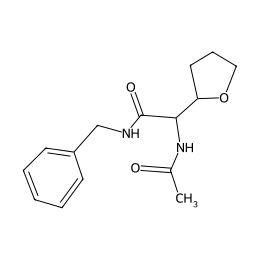 CC(=O)NC(C(=O)NCc1ccccc1)C1CCCO1